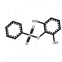 O=S(=O)(Oc1c(O)cccc1O)c1ccccc1